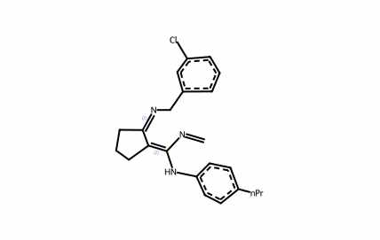 C=N/C(Nc1ccc(CCC)cc1)=C1/CCC/C1=N/Cc1cccc(Cl)c1